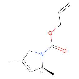 C=CCOC(=O)N1CC(C)=C[C@@H]1C